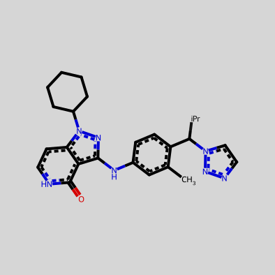 Cc1cc(Nc2nn(C3CCCCC3)c3cc[nH]c(=O)c23)ccc1C(C(C)C)n1ccnn1